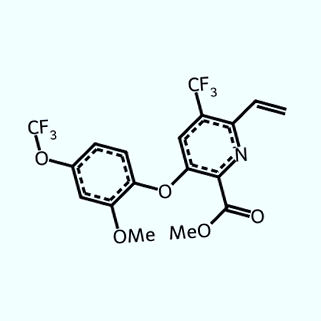 C=Cc1nc(C(=O)OC)c(Oc2ccc(OC(F)(F)F)cc2OC)cc1C(F)(F)F